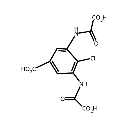 O=C(O)C(=O)Nc1cc(C(=O)O)cc(NC(=O)C(=O)O)c1Cl